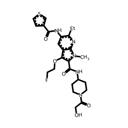 CCc1nc2c(cc1NC(=O)c1ccsc1)c(OCCF)c(C(=O)NC1CCN(C(=O)CO)CC1)n2C